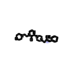 C/C(=C\c1ccccc1)CN1CCN(c2nccn(CCN3CCOCC3)c2=O)CC1